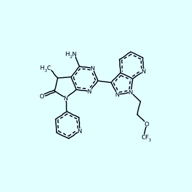 CC1C(=O)N(c2cccnc2)c2nc(-c3nn(CCOC(F)(F)F)c4ncccc34)nc(N)c21